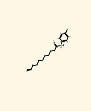 C=CCCCCCCCCC(=O)Nc1ccc(C)cc1